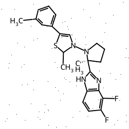 Cc1cccc(C2=[C]N(N3CCC[C@@]3(C)c3nc4c(F)c(F)ccc4[nH]3)C(C)S2)c1